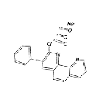 Clc1nc2c(ccc3cccnc32)cc1-c1ccccc1.[C]=O.[C]=O.[C]=O.[Re]